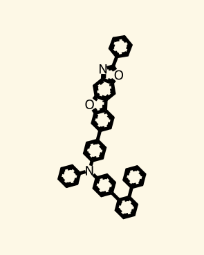 c1ccc(-c2nc3cc4oc5cc(-c6ccc(N(c7ccccc7)c7ccc(-c8ccccc8-c8ccccc8)cc7)cc6)ccc5c4cc3o2)cc1